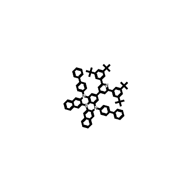 CC(C)(C)c1cc(-c2cc(-c3cc4c5c(c3)N(c3ccc(-c6ccccc6)cc3)c3cc6ccccc6cc3B5c3cc5ccccc5cc3N4c3ccc(-c4ccccc4)cc3)cc(-c3cc(C(C)(C)C)cc(C(C)(C)C)c3)n2)cc(C(C)(C)C)c1